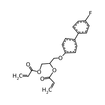 C=CC(=O)OCC(COc1ccc(-c2ccc(F)cc2)cc1)OC(=O)C=C